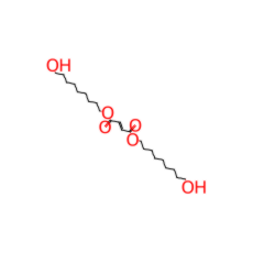 O=C(/C=C/C(=O)OCCCCCCCCCO)OCCCCCCCCCO